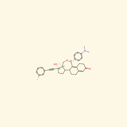 CN(C)c1ccc([C@H]2OC[C@@]3(C)C(CC[C@@]3(O)C#Cc3cccc(F)c3)C3CCC4=CC(=O)CCC4=C32)cc1